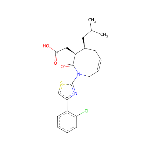 CC(C)C[C@H]1CC=CCN(c2nc(-c3ccccc3Cl)cs2)C(=O)[C@H]1CC(=O)O